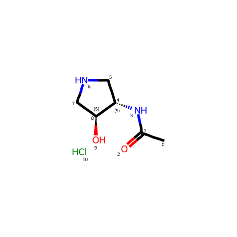 CC(=O)N[C@H]1CNC[C@@H]1O.Cl